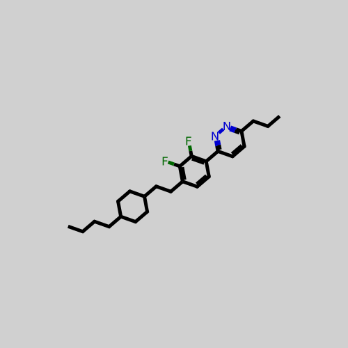 CCCCC1CCC(CCc2ccc(-c3ccc(CCC)nn3)c(F)c2F)CC1